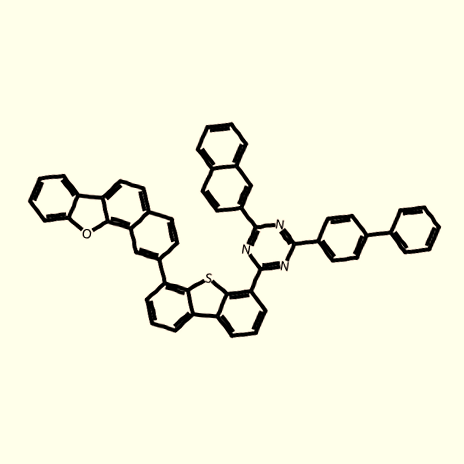 c1ccc(-c2ccc(-c3nc(-c4ccc5ccccc5c4)nc(-c4cccc5c4sc4c(-c6ccc7ccc8c9ccccc9oc8c7c6)cccc45)n3)cc2)cc1